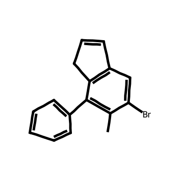 Cc1c(Br)cc2c(c1-c1ccccc1)CC=C2